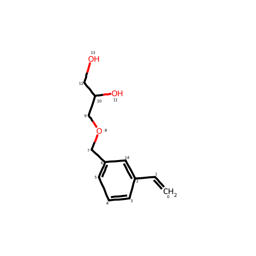 C=Cc1cccc(COCC(O)CO)c1